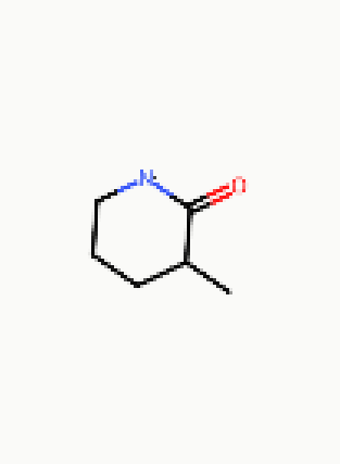 CC1CCC[N]C1=O